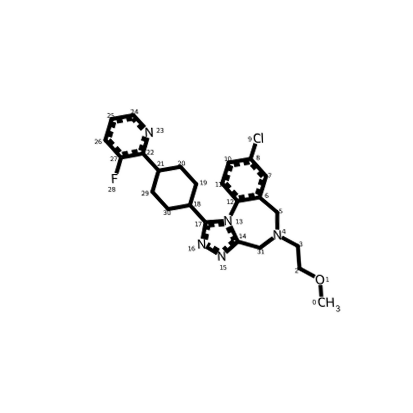 COCCN1Cc2cc(Cl)ccc2-n2c(nnc2C2CCC(c3ncccc3F)CC2)C1